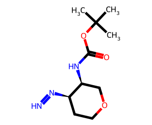 CC(C)(C)OC(=O)N[C@H]1COCC[C@H]1N=N